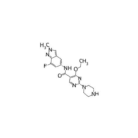 CCOc1nc(N2CCNCC2)ncc1C(=O)Nc1cc(F)c2nn(C)cc2c1